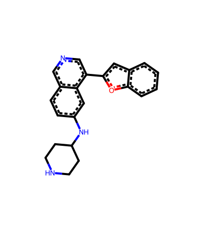 c1ccc2oc(-c3cncc4ccc(NC5CCNCC5)cc34)cc2c1